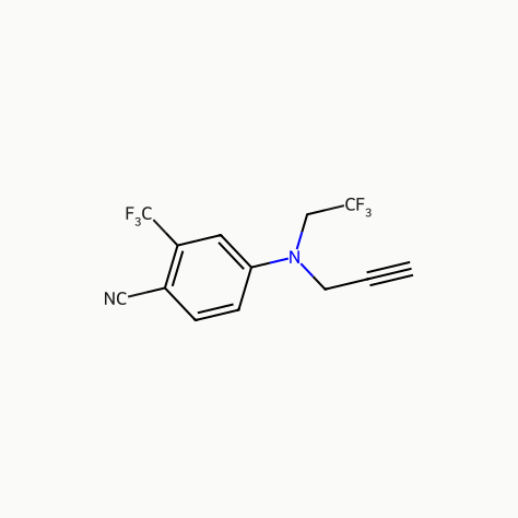 C#CCN(CC(F)(F)F)c1ccc(C#N)c(C(F)(F)F)c1